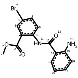 COC(=O)c1cc(Br)ccc1NC(=O)c1ccccc1N